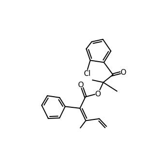 C=CC(C)=C(C(=O)OC(C)(C)C(=O)c1ccccc1Cl)c1ccccc1